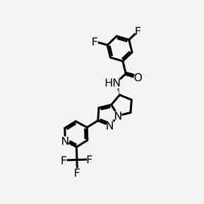 O=C(N[C@@H]1CCn2nc(-c3ccnc(C(F)(F)F)c3)cc21)c1cc(F)cc(F)c1